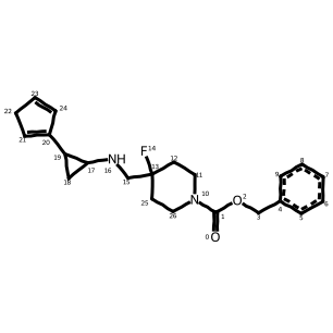 O=C(OCc1ccccc1)N1CCC(F)(CNC2CC2C2=CCC=C2)CC1